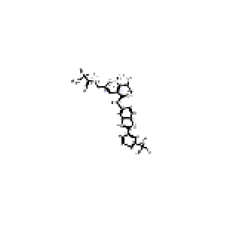 C=N/C(=C(\C=C(/C)CNC(=O)C(C)(C)F)C(=O)Nc1ccc2oc(-c3cccc(C(F)(F)F)c3)nc2c1)C(F)F